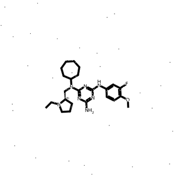 CCN1CCC[C@@H]1CN(c1nc(N)nc(Nc2ccc(OC)c(F)c2)n1)C1CCCCCC1